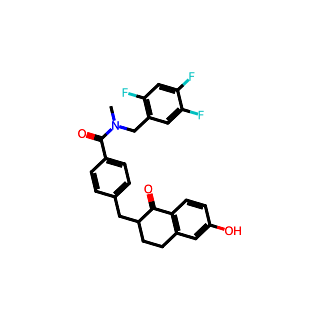 CN(Cc1cc(F)c(F)cc1F)C(=O)c1ccc(CC2CCc3cc(O)ccc3C2=O)cc1